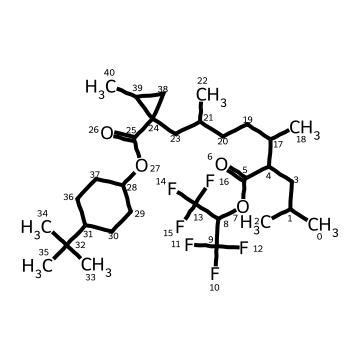 CC(C)CC(C(=O)OC(C(F)(F)F)C(F)(F)F)C(C)CCC(C)CC1(C(=O)OC2CCC(C(C)(C)C)CC2)CC1C